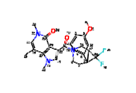 COc1cccc(C23CCN(C(=O)c4cn(C)c5c(C)cn(C)c(=O)c45)CC2C3(F)F)c1